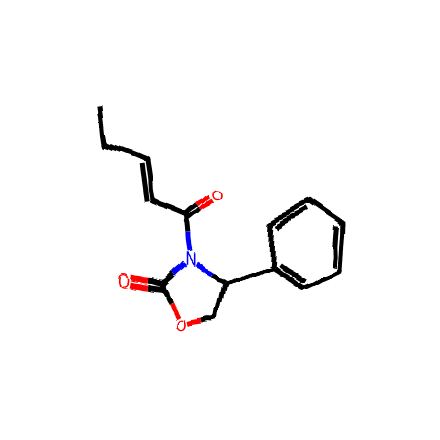 CCC=CC(=O)N1C(=O)OCC1c1ccccc1